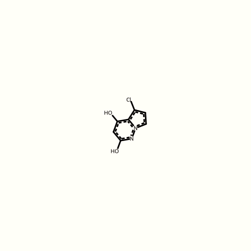 Oc1cc(O)c2c(Cl)ccn2n1